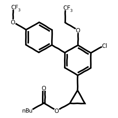 CCCCC(=O)OC1CC1c1cc(Cl)c(OCC(F)(F)F)c(-c2ccc(OC(F)(F)F)cc2)c1